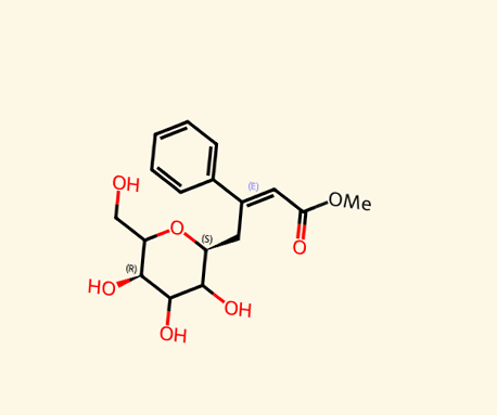 COC(=O)/C=C(\C[C@@H]1OC(CO)[C@H](O)C(O)C1O)c1ccccc1